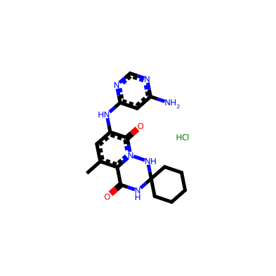 Cc1cc(Nc2cc(N)ncn2)c(=O)n2c1C(=O)NC1(CCCCC1)N2.Cl